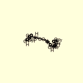 COc1cc(N2CCN(CCOCCOCCNC(=O)CNc3cccc4c3C(=O)N(C3CCC(=O)NC3=O)C4=O)CC2)ccc1Nc1ncc(Cl)c(Nc2ccccc2S(=O)(=O)C(C)C)n1